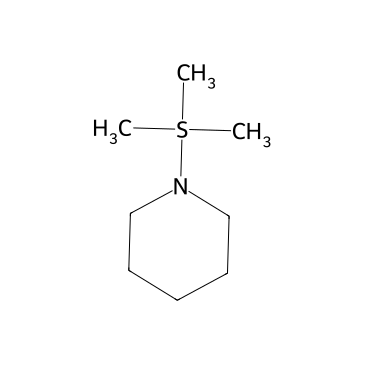 CS(C)(C)N1CCCCC1